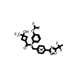 CC(F)(F)c1nc(C23CCC(CN(C(=O)C4CC(O)(C(F)(F)F)C4)c4cccc(OC(F)F)c4)(CC2)CC3)no1